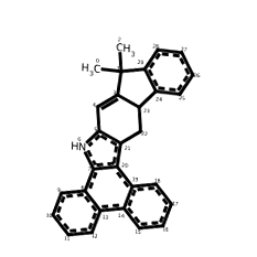 CC1(C)C2=Cc3[nH]c4c5ccccc5c5ccccc5c4c3CC2c2ccccc21